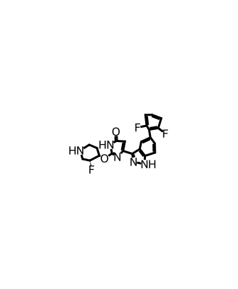 O=c1cc(-c2n[nH]c3ccc(-c4c(F)cccc4F)cc23)nc(O[C@@H]2CCNC[C@H]2F)[nH]1